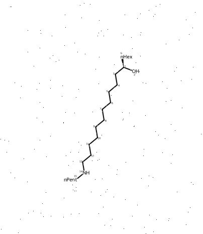 CCCCCC[C@@H](O)CCCCCCCCCCCNCCCCC